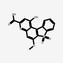 COc1cc2nc(C(=O)O)cc(O)c2c2c1S(=O)(=O)c1ccccc1-2